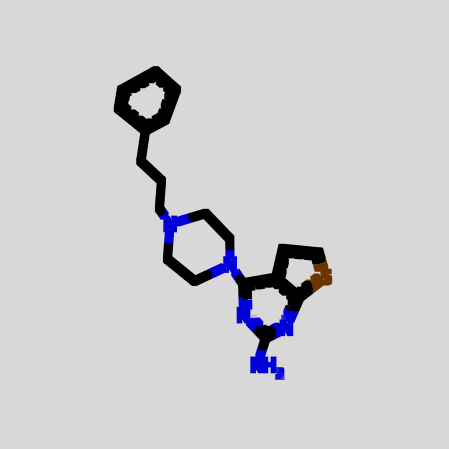 Nc1nc(N2CCN(CCCc3ccccc3)CC2)c2ccsc2n1